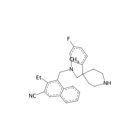 CCc1c(C#N)cc2ccccc2c1CN(C)CC1(c2ccc(F)cc2)CCNCC1